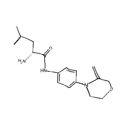 C=C1COCCN1c1ccc(NC(=O)[C@H](N)CC(C)C)cc1